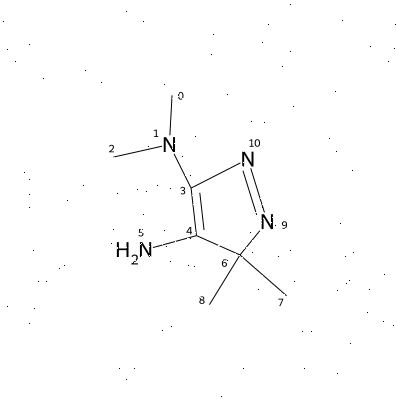 CN(C)C1=C(N)C(C)(C)N=N1